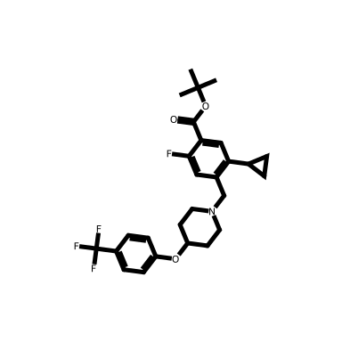 CC(C)(C)OC(=O)c1cc(C2CC2)c(CN2CCC(Oc3ccc(C(F)(F)F)cc3)CC2)cc1F